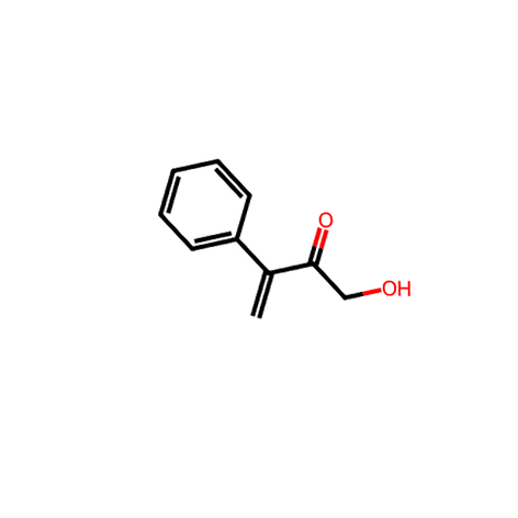 C=C(C(=O)CO)c1ccccc1